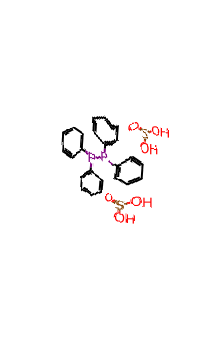 O=S(O)O.O=S(O)O.c1ccc(P(c2ccccc2)P(c2ccccc2)c2ccccc2)cc1